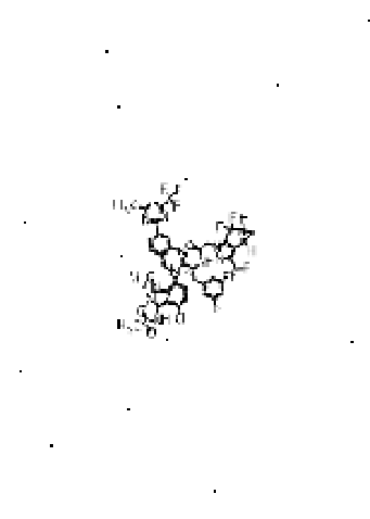 Cc1cc(C(F)(F)F)nc(-c2ccc3c(c2)N=C([C@H](Cc2cc(F)cc(F)c2)NC(=O)Cn2nc(C(F)F)c4c2C(F)(F)[C@@H]2C[C@H]42)N(c2ccc(Cl)c4c(NS(C)(=O)=O)nn(C)c24)C3)n1